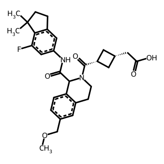 COCc1ccc2c(c1)CCN(C(=O)[C@H]1C[C@@H](CC(=O)O)C1)C2C(=O)Nc1cc(F)c2c(c1)CCC2(C)C